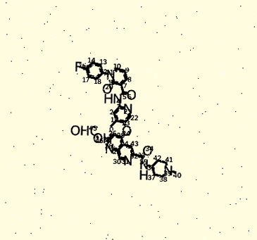 Cc1cc(NC(=O)c2cccn(-c3ccc(F)cc3)c2=O)ncc1Oc1ccnc2cnc(C(=O)NC3CCN(C)CC3)cc12.O=CO